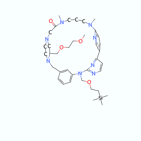 COCCOCC1CN2CCN1Cc1cccc(c1)N(COCC[Si](C)(C)C)c1nccc(n1)-c1ccc(nc1)N(C)CCCN(C)C(=O)C2